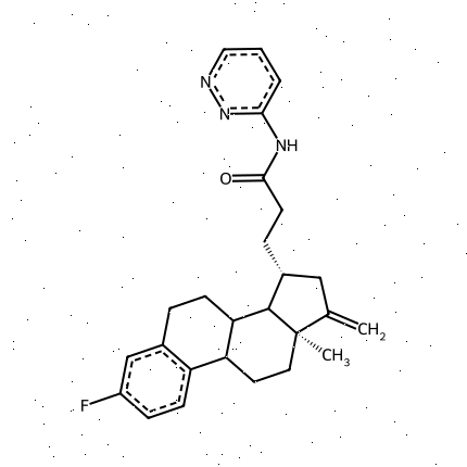 C=C1C[C@@H](CCC(=O)Nc2cccnn2)C2C3CCc4cc(F)ccc4C3CC[C@]12C